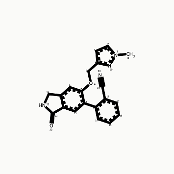 Cn1ccc(COc2cc3c(cc2-c2ccccc2C#N)C(=O)NC3)n1